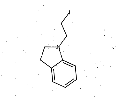 ICCN1CCc2ccccc21